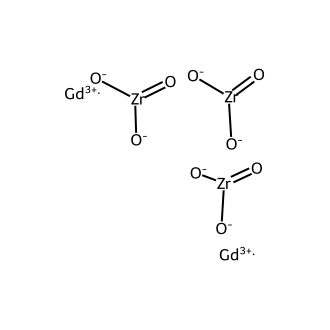 [Gd+3].[Gd+3].[O]=[Zr]([O-])[O-].[O]=[Zr]([O-])[O-].[O]=[Zr]([O-])[O-]